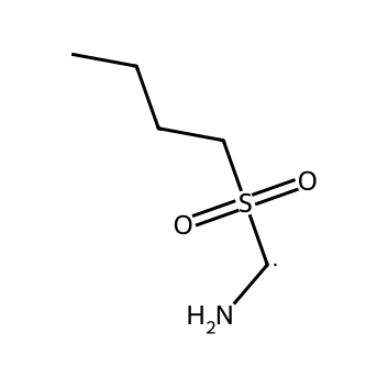 CCCCS(=O)(=O)[CH]N